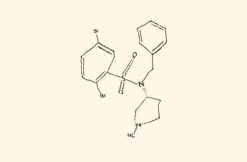 N#CN1CC[C@@H](N(Cc2ccccc2)S(=O)(=O)c2cc(Br)ccc2Br)C1